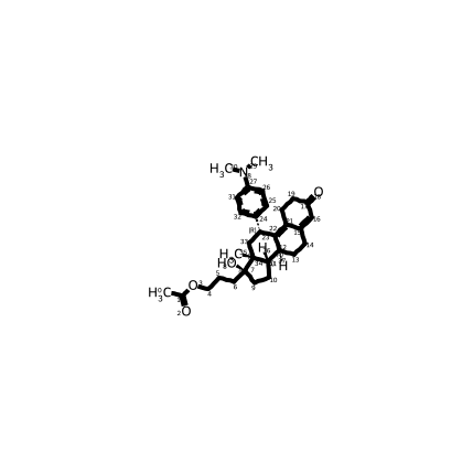 CC(=O)OCCC[C@@]1(O)CC[C@H]2[C@@H]3CCC4=CC(=O)CCC4=C3[C@@H](c3ccc(N(C)C)cc3)C[C@]21C